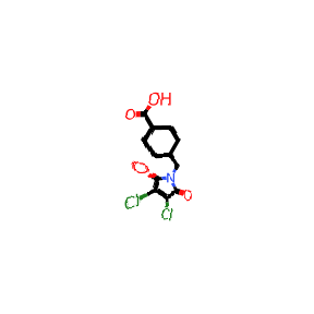 O=C(O)C1CCC(CN2C(=O)C(Cl)=C(Cl)C2=O)CC1